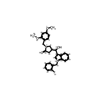 COc1ccc(CN2CC(C(O)c3cn(Cc4ccccc4F)c4ccccc34)CC2=O)c(OC)c1